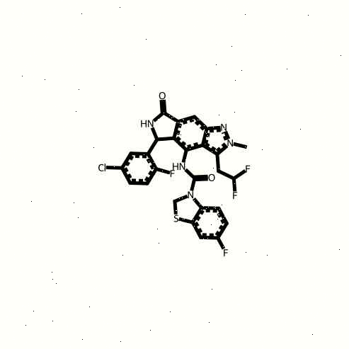 Cn1nc2cc3c(c(NC(=O)N4CSc5cc(F)ccc54)c2c1CC(F)F)C(c1cc(Cl)ccc1F)NC3=O